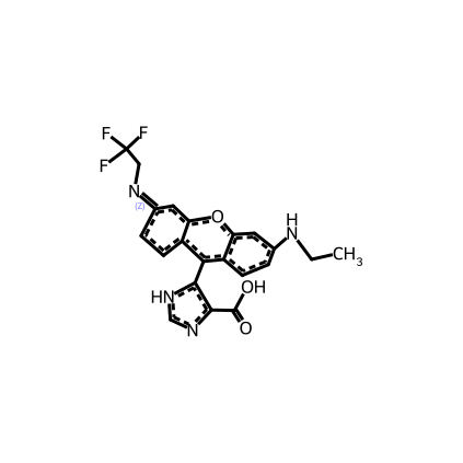 CCNc1ccc2c(-c3[nH]cnc3C(=O)O)c3cc/c(=N/CC(F)(F)F)cc-3oc2c1